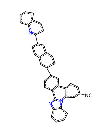 [C-]#[N+]c1ccc2c3cc(-c4ccc5cc(-c6ccc7ccccc7n6)ccc5c4)ccc3c3nc4ccccc4n3c2c1